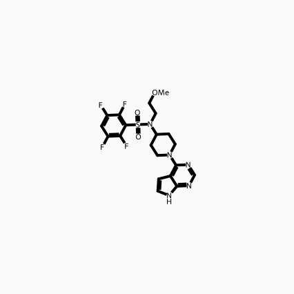 COCCN(C1CCN(c2ncnc3[nH]ccc23)CC1)S(=O)(=O)c1c(F)c(F)cc(F)c1F